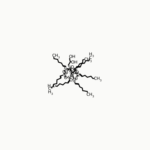 CCCCC/C=C\[Si]12O[Si]3(/C=C/CCCCC)O[Si]4(/C=C/CCCCC)O[Si](/C=C/CCCCC)(O1)O[Si]1(CC(O)CO)O[Si](/C=C/CCCCC)(O2)O[Si](/C=C/CCCCC)(O3)O[Si](/C=C/CCCCC)(O4)O1